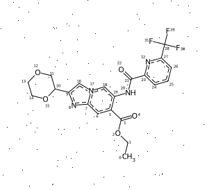 CCOC(=O)c1cc2nc(C3COCCO3)cn2cc1NC(=O)c1cccc(C(F)(F)F)n1